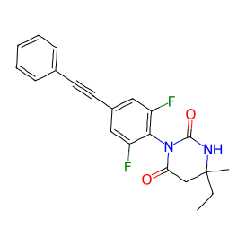 CCC1(C)CC(=O)N(c2c(F)cc(C#Cc3ccccc3)cc2F)C(=O)N1